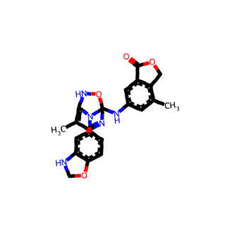 CC1=C2NOC(Nc3cc(C)c4c(c3)C(=O)OC4)(N=C1)N2c1ccc2c(c1)NCO2